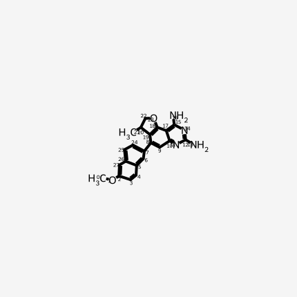 COc1ccc2cc(-c3cc4nc(N)nc(N)c4c4c3C(C)CO4)ccc2c1